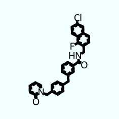 O=C(NCc1ccc2cc(Cl)ccc2c1F)c1cccc(Cc2ccc(Cn3ccccc3=O)cc2)c1